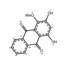 COc1c(O)cc(O)c2c1C(=O)c1ccccc1C2=O